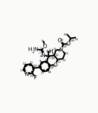 CO/C(N)=N\C1(C)c2cc(-c3cccnc3F)ccc2OC2CCN(C(=O)OC(C)C)C[C@@H]21